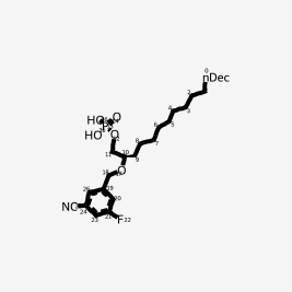 CCCCCCCCCCCCCCCCCCC[C@H](COP(=O)(O)O)OCc1cc(F)cc(C#N)c1